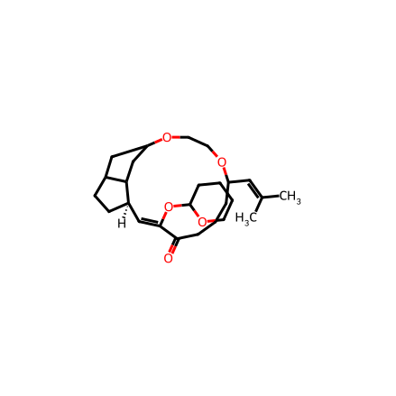 CC(C)=CC1CCCC(=O)/C(OC2CCCCO2)=C/[C@H]2CCC3CC(CC32)OCCO1